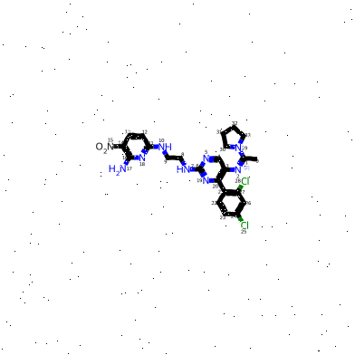 C/C(=N/c1cnc(NCCNc2ccc([N+](=O)[O-])c(N)n2)nc1-c1ccc(Cl)cc1Cl)N1CCCC1